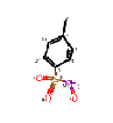 Cc1ccc(S(=O)(=O)[PH2]=O)cc1